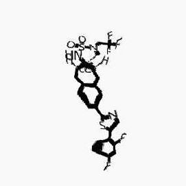 O=S1(=O)N[C@@]2(CN1CC(F)(F)F)[C@@H]1CC[C@H]2Cc2ccc(-c3ncc(-c4ccc(F)cc4F)s3)cc2C1